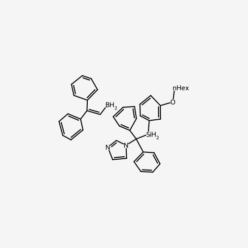 BC=C(c1ccccc1)c1ccccc1.CCCCCCOc1cccc([SiH2]C(c2ccccc2)(c2ccccc2)n2ccnc2)c1